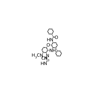 CN(C)c1ccc2c(c1N=NC=N)Nc1c(-c3ccccc3)ccc(NC(=O)c3ccccc3)c1O2